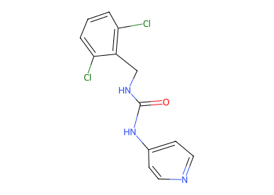 O=C(NCc1c(Cl)cccc1Cl)Nc1ccncc1